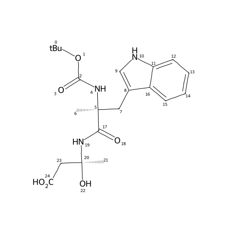 CC(C)(C)OC(=O)N[C@@](C)(Cc1c[nH]c2ccccc12)C(=O)N[C@@](C)(O)CC(=O)O